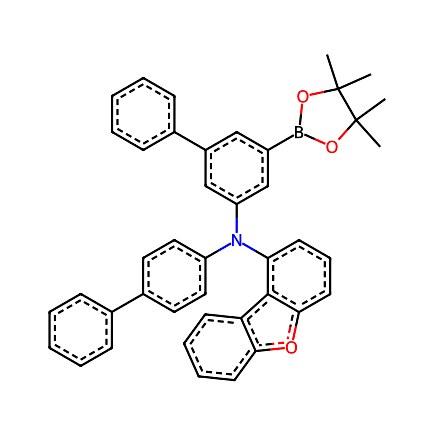 CC1(C)OB(c2cc(-c3ccccc3)cc(N(c3ccc(-c4ccccc4)cc3)c3cccc4oc5ccccc5c34)c2)OC1(C)C